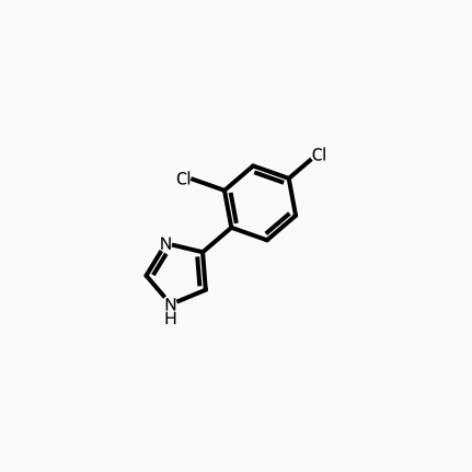 Clc1ccc(-c2c[nH]cn2)c(Cl)c1